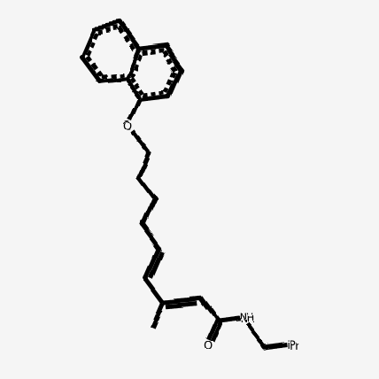 CC(C=CCCCCOc1cccc2ccccc12)=CC(=O)NCC(C)C